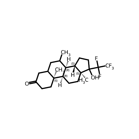 CC1CC2CC(=O)CC[C@]2(C)[C@@H]2CC[C@@]3(C)[C@@H](CCC3(O)C(F)(F)C(F)(F)F)[C@H]12